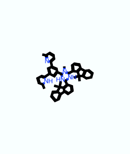 Cc1cccc(-c2cc(C3=CC=CC(C)N3)cc(C3NC(c4cccc5c4C(C)(C)c4ccccc4-5)NC(c4cccc5c4C(C)(C)C4=C5C=CCC4)N3C)c2)n1